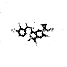 C[C@@H](Nc1nn(C)c(=O)c2cc(=O)n(C3(CO)CC3)cc12)c1cccc(C(F)(F)F)c1F